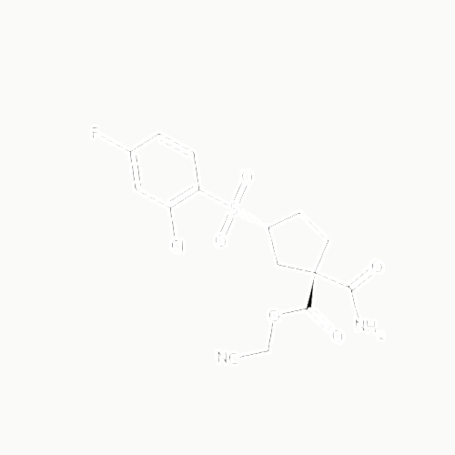 N#CCOC(=O)[C@]1(C(N)=O)CC[C@@H](S(=O)(=O)c2ccc(F)cc2Cl)C1